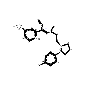 C=N/C(=C\N(C)CCN1CCC[C@H]1c1ccc(F)cc1)c1cc(C(=O)O)ccn1